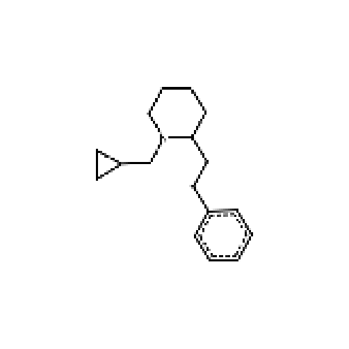 [CH](CC1CCCCN1CC1CC1)c1ccccc1